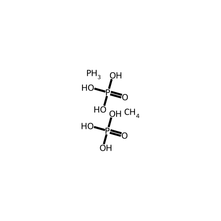 C.O=P(O)(O)O.O=P(O)(O)O.P